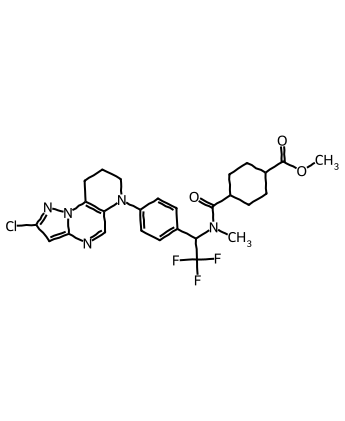 COC(=O)C1CCC(C(=O)N(C)C(c2ccc(N3CCCc4c3cnc3cc(Cl)nn43)cc2)C(F)(F)F)CC1